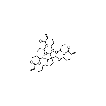 C=CC(=O)OC(CC)OC(OCCC)C(CC)(C(OCCC)OC(CC)OC(=O)C=C)C(OCCC)OC(CC)OC(=O)C=C